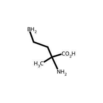 BCCC(C)(N)C(=O)O